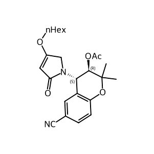 CCCCCCOC1=CC(=O)N([C@H]2c3cc(C#N)ccc3OC(C)(C)[C@@H]2OC(C)=O)C1